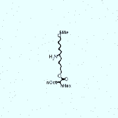 CCCCCCCCC(CCCCCC)C(=O)OCCCCCC(N)CCCCCOSC